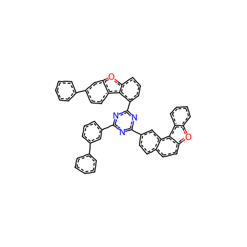 c1ccc(-c2cccc(-c3nc(-c4ccc5ccc6oc7ccccc7c6c5c4)nc(-c4cccc5oc6cc(-c7ccccc7)ccc6c45)n3)c2)cc1